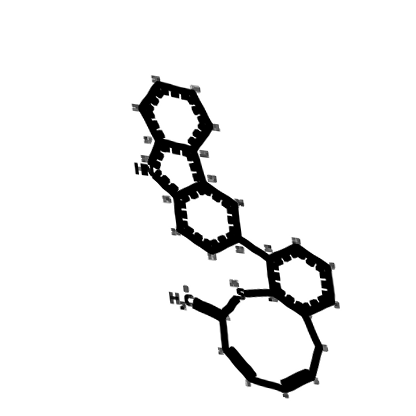 C=C1/C=C\C=C/Cc2cccc(-c3ccc4[nH]c5ccccc5c4c3)c2S1